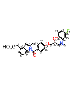 Cc1cc2c(CC(=O)O)cccc2n1C(=O)c1ccc(OCC2CN(C)c3cc(F)ccc3O2)cc1